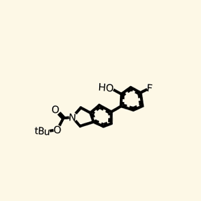 CC(C)(C)OC(=O)N1Cc2ccc(-c3ccc(F)cc3O)cc2C1